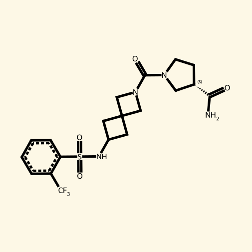 NC(=O)[C@H]1CCN(C(=O)N2CC3(CC(NS(=O)(=O)c4ccccc4C(F)(F)F)C3)C2)C1